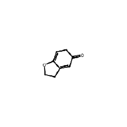 O=C1C=C2CCOC2=CC1